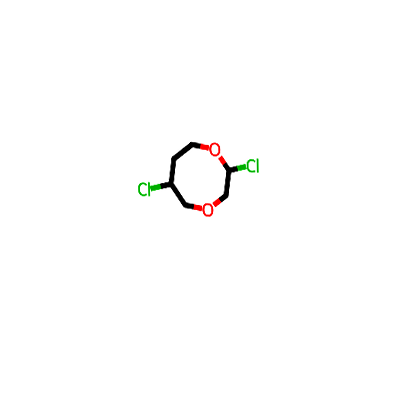 ClC1CCOC(Cl)COC1